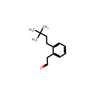 CC(C)(C)CCc1ccccc1CC=O